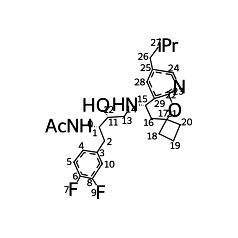 CC(=O)N[C@@H](Cc1ccc(F)c(F)c1)[C@H](O)CN[C@H]1CC2(CCC2)Oc2ncc(CC(C)C)cc21